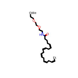 CC/C=C\C/C=C\C/C=C\C/C=C\C/C=C\CCCC(=O)NCCOCCOCCOC